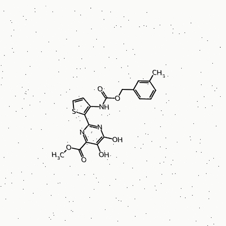 COC(=O)c1nc(-c2sccc2NC(=O)OCc2cccc(C)c2)nc(O)c1O